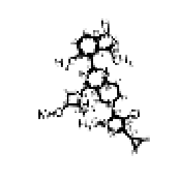 COC1CN(c2nc(-c3c(C)ccc4[nH]nc(C)c34)nc3c2CN(c2c(Cl)c(C4CC4)nn2C)CC3)C1C